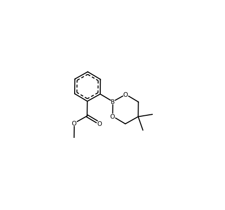 COC(=O)c1ccccc1B1OCC(C)(C)CO1